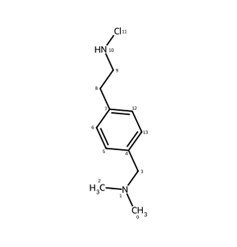 CN(C)Cc1ccc(CCNCl)cc1